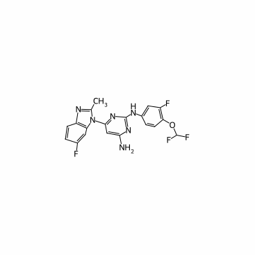 Cc1nc2ccc(F)cc2n1-c1cc(N)nc(Nc2ccc(OC(F)F)c(F)c2)n1